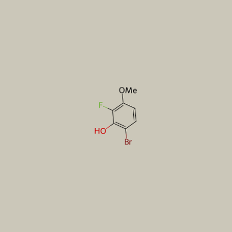 COc1ccc(Br)c(O)c1F